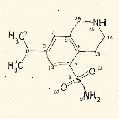 CC(C)c1cc2c(c(S(N)(=O)=O)c1)CCNC2